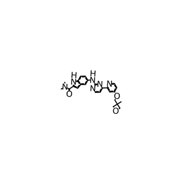 CN(C)C(=O)c1cc2cc(Nc3nccc(-c4cc(OCC5(C)COC5)ccn4)n3)ccc2[nH]1